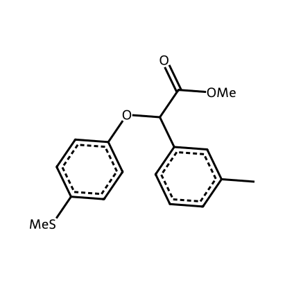 COC(=O)C(Oc1ccc(SC)cc1)c1cccc(C)c1